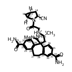 CNC(=N)C1(C[C@@H](C)NCC(=O)N2[C@H](C#N)C[C@@H]3C[C@@H]32)c2ccc(C(N)=O)cc2CCc2cc(C(N)=O)ccc21